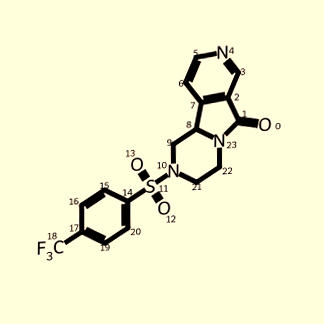 O=C1c2cnccc2C2CN(S(=O)(=O)c3ccc(C(F)(F)F)cc3)CCN12